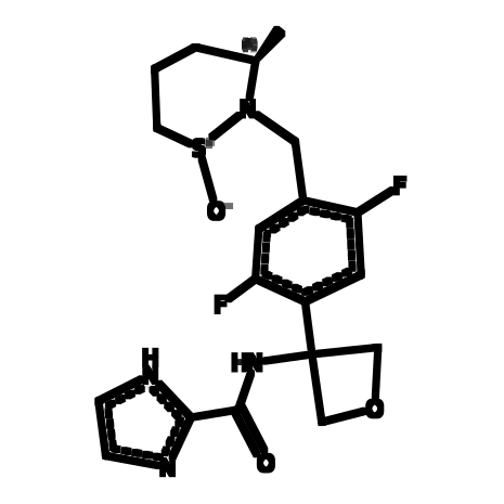 C[C@@H]1CCC[S+]([O-])N1Cc1cc(F)c(C2(NC(=O)c3ncc[nH]3)COC2)cc1F